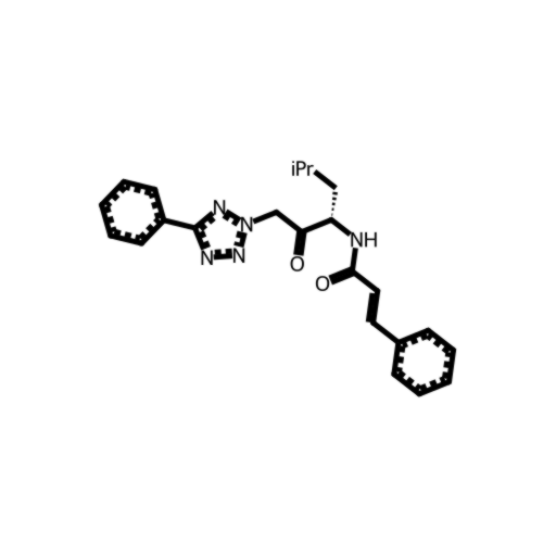 CC(C)C[C@H](NC(=O)/C=C/c1ccccc1)C(=O)Cn1nnc(-c2ccccc2)n1